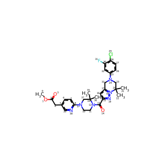 COC(=O)Cc1ccc(N2CCN(C(=O)c3cc4n(n3)C(C)(C)CN(c3ccc(Cl)c(F)c3)C4)C(C)(C)C2)nc1